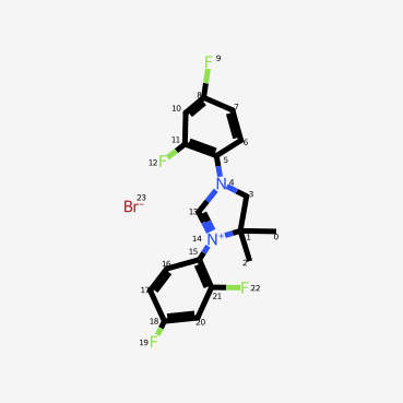 CC1(C)CN(c2ccc(F)cc2F)C=[N+]1c1ccc(F)cc1F.[Br-]